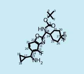 CC(C)(C)OC(=O)N[C@H](c1nc2c(F)c(C(N)C3CC3)ccc2o1)C1CCC(F)(F)CC1